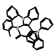 C=C(B(c1c(C)cccc1C)c1c(-c2c(C)c3ccccc3n2-c2ccccc2)c2ccccc2n1-c1ccccc1)c1ccccc1